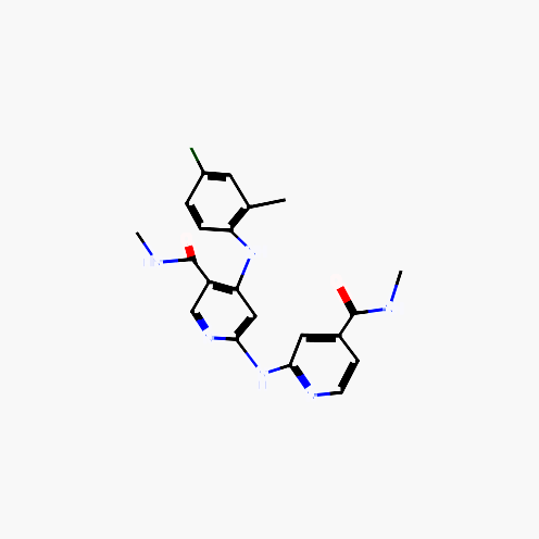 CNC(=O)c1ccnc(Nc2cc(Nc3ccc(Cl)cc3C)c(C(=O)NC)cn2)c1